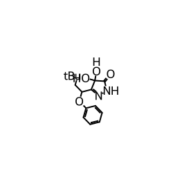 CC(C)(C)CC(Oc1ccccc1)C1=NNC(=O)C1(O)O